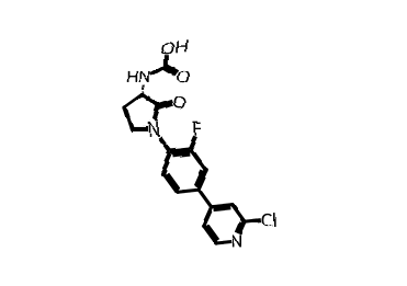 O=C(O)N[C@H]1CCN(c2ccc(-c3ccnc(Cl)c3)cc2F)C1=O